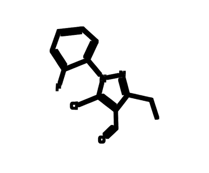 CCc1nn(-c2ccccc2F)c(Cl)c1C=O